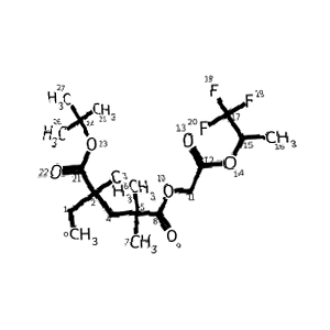 CCC(C)(CC(C)(C)C(=O)OCC(=O)OC(C)C(F)(F)F)C(=O)OC(C)(C)C